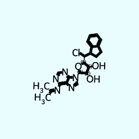 CC(C)=Nc1ncnc2c1ncn2[C@@H]1O[C@H](C(Cl)C2CCc3ccccc32)[C@@H](O)[C@H]1O